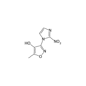 Cc1onc(-n2ccnc2[N+](=O)[O-])c1O